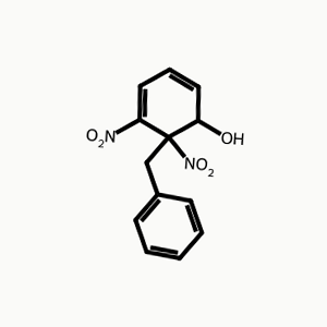 O=[N+]([O-])C1=CC=CC(O)C1(Cc1ccccc1)[N+](=O)[O-]